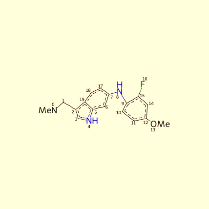 CNCc1c[nH]c2cc(Nc3ccc(OC)cc3F)ccc12